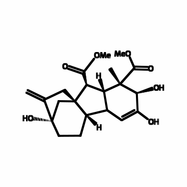 C=C1C[C@]23C[C@@]1(O)CC[C@H]2C1C=C(O)[C@H](O)[C@@](C)(C(=O)OC)[C@H]1[C@@H]3C(=O)OC